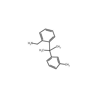 Cc1cccc(C(C)(C)c2ccccc2CN)c1